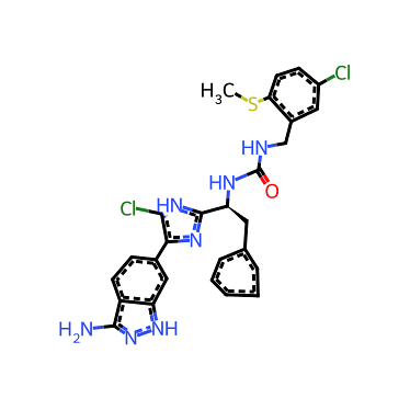 CSc1ccc(Cl)cc1CNC(=O)N[C@@H](Cc1ccccc1)c1nc(-c2ccc3c(N)n[nH]c3c2)c(Cl)[nH]1